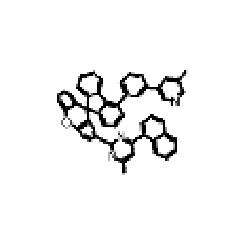 Cc1cncc(-c2cccc(-c3cccc4c3-c3ccccc3C43c4ccccc4Oc4ccc(-c5nc(C)cc(-c6cccc7ccccc67)n5)cc43)c2)c1